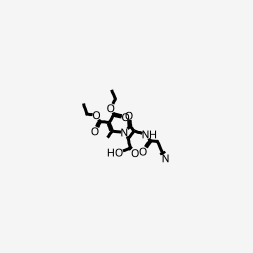 CCOC(=O)C(C(=O)OCC)=C(C)N1C(=O)C(NC(=O)CC#N)C1C(=O)O